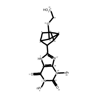 CCCn1c(=O)c2[nH]c(C3C4CC5C(C4OCC(=O)O)C53)nc2n(CCC)c1=O